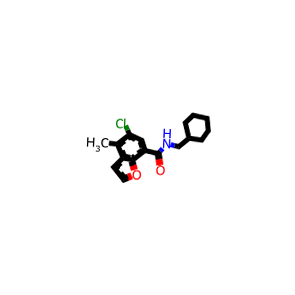 Cc1c(Cl)cc(C(=O)NCC2CCCCC2)c2occc12